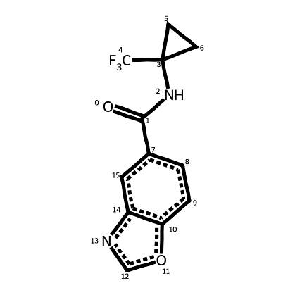 O=C(NC1(C(F)(F)F)CC1)c1ccc2ocnc2c1